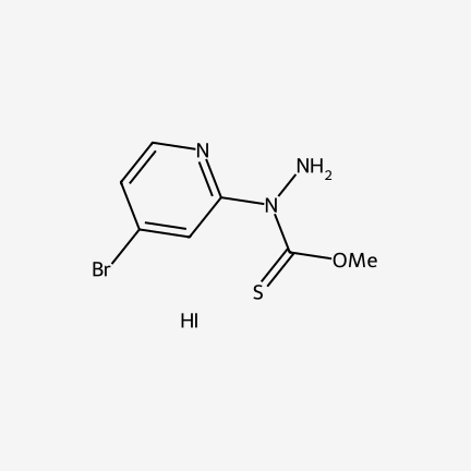 COC(=S)N(N)c1cc(Br)ccn1.I